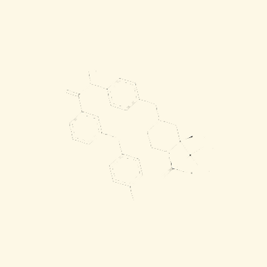 CN(C(=O)c1cccc(Oc2ccc(F)cc2)c1)c1ccc(CN2CCN(C(=O)O)[C@@](C)(C(C)(C)C)C2)cc1